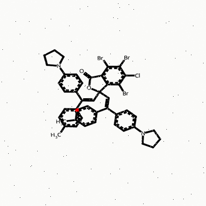 Cc1ccc(C(=CC2(C=C(c3ccc(C)cc3)c3ccc(N4CCCC4)cc3)OC(=O)c3c(Br)c(Br)c(Cl)c(Br)c32)c2ccc(N3CCCC3)cc2)cc1